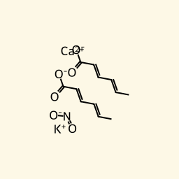 CC=CC=CC(=O)[O-].CC=CC=CC(=O)[O-].O=N[O-].[Ca+2].[K+]